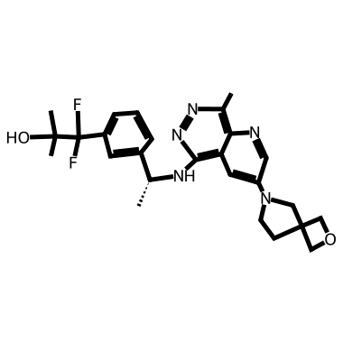 Cc1nnc(N[C@H](C)c2cccc(C(F)(F)C(C)(C)O)c2)c2cc(N3CCC4(COC4)C3)cnc12